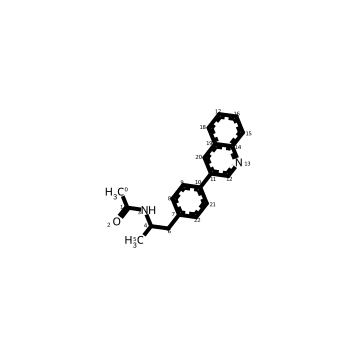 CC(=O)NC(C)Cc1ccc(-c2cnc3ccccc3c2)cc1